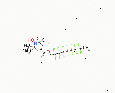 CC1(C)CC(C(=O)OCC(F)(F)C(F)(F)C(F)(F)C(F)(F)C(F)(F)C(F)(F)C(F)(F)C(F)(F)F)CC(C)(C)N1O